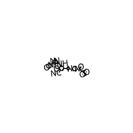 CS(=O)(=O)CCC(=O)N1CCC(N2CC(c3cc(C#N)c4c(c3)Nc3ncnc(N5CCOCC5)c3CO4)C2)CC1